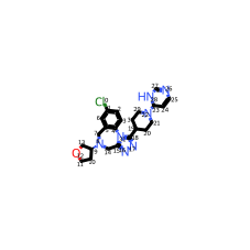 Clc1ccc2c(c1)CN([C@H]1CCOC1)Cc1nnc(C3CCN(C4C=CN=CN4)CC3)n1-2